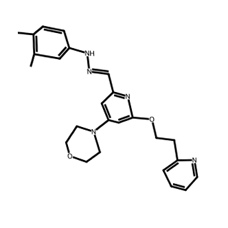 Cc1ccc(NN=Cc2cc(N3CCOCC3)cc(OCCc3ccccn3)n2)cc1C